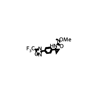 CON(C)C(=O)NC1(c2ccc(-c3noc(C(F)(F)F)n3)cc2)CC1